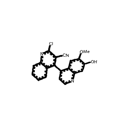 COc1cc2c(-c3c(C#N)c(Cl)nc4ccccc34)ccnc2cc1O